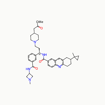 COC(=O)CC1CCN(CC[C@@H](NC(=O)c2ccc3nc4c(cc3c2)CC(C2(C)CC2)CC4)c2cccc(C(=O)NC3CN(C)C3)c2)CC1